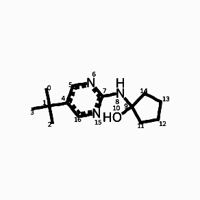 CC(C)(C)c1cnc(NC2(O)CCCC2)nc1